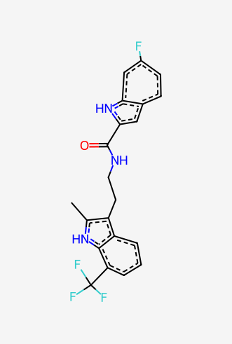 Cc1[nH]c2c(C(F)(F)F)cccc2c1CCNC(=O)c1cc2ccc(F)cc2[nH]1